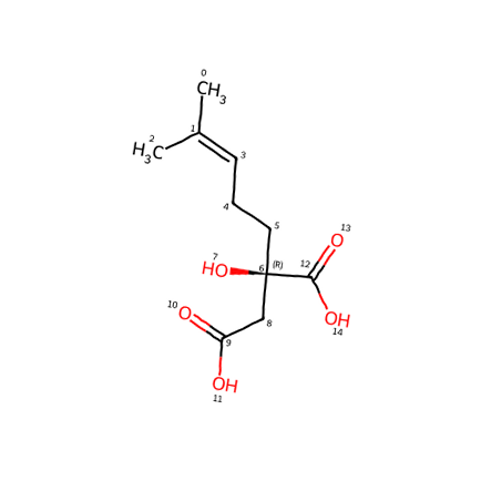 CC(C)=CCC[C@@](O)(CC(=O)O)C(=O)O